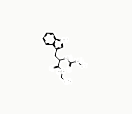 CC(C)NC(=S)NC(Cc1c[nH]c2ccccc12)C(=O)NCC#N